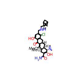 COC1=C2C(=O)c3c(O)cc(CNC[C@H]4CC5CC4C5(C)C)c(Cl)c3C[C@H]2C[C@H]2[C@H](N(C)C)C(O)=C(C(N)=O)C[C@@]12OC